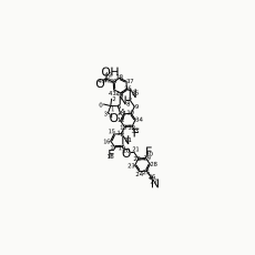 CC1(C)COCC1n1c(Cc2ccc(-c3ccc(F)c(OCc4ccc(C#N)cc4F)n3)c(F)c2)nc2ccc(C(=O)O)cc21